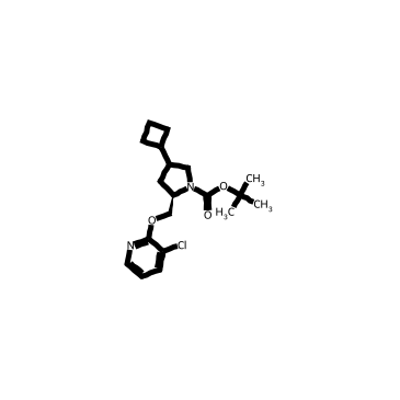 CC(C)(C)OC(=O)N1CC(C2CCC2)C[C@@H]1COc1ncccc1Cl